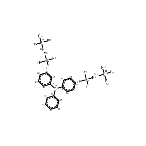 F[B-](F)(F)F.F[B-](F)(F)F.F[B-](F)(F)F.F[B-](F)(F)F.c1ccc([S+](c2ccccc2)c2ccccc2)cc1